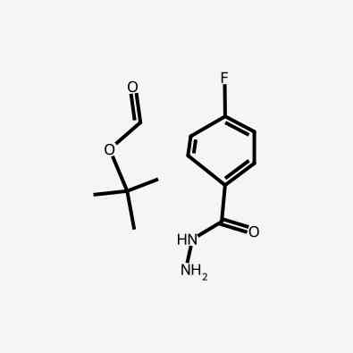 CC(C)(C)OC=O.NNC(=O)c1ccc(F)cc1